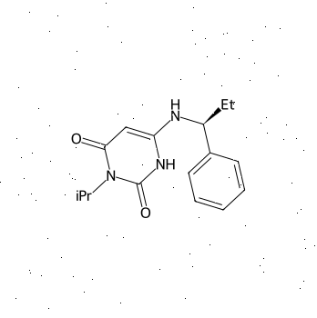 CC[C@H](Nc1cc(=O)n(C(C)C)c(=O)[nH]1)c1ccccc1